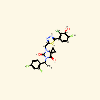 O=C1N([C@H](c2ccc(F)cc2F)C(F)(F)F)C(=O)C2(CC2)N1Cc1nnc(-c2ccc(F)c(O)c2Cl)s1